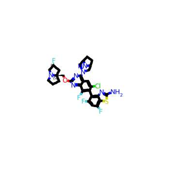 Nc1nc2c(-c3c(Cl)cc4c(N5CC6CCC(C5)N6)nc(OC[C@@]56CCCN5C[C@H](F)C6)nc4c3F)c(F)cc(F)c2s1